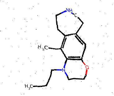 CCCN1CCOc2cc3c(c(C)c21)CCNCC3